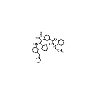 CC[C@@H](NC(=O)c1ccc2c(c1)/C(=C(/Nc1cccc(CN3CCCC3)c1)c1ccccn1)C(=O)N2)c1ccccc1